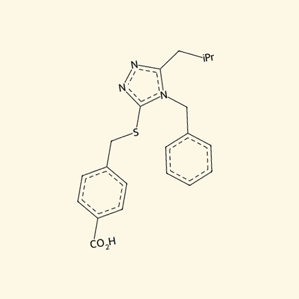 CC(C)Cc1nnc(SCc2ccc(C(=O)O)cc2)n1Cc1ccccc1